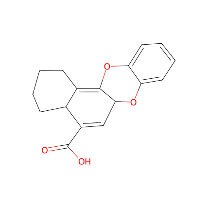 O=C(O)C1=CC2Oc3ccccc3OC2=C2CCCCC12